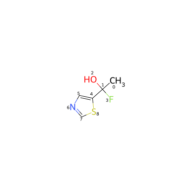 CC(O)(F)c1cncs1